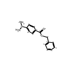 NN(N)c1ccc(C(=O)OCc2ccccc2)cc1